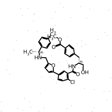 COC(=O)c1ccc(C[C@H](CO)NC(=O)c2cc(-c3ccc(CN[C@H](C)c4ccc(C)cc4)o3)ccc2Cl)cc1